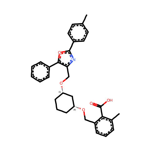 Cc1ccc(-c2nc(CO[C@H]3CCC[C@@H](OCc4cccc(C)c4C(=O)O)C3)c(-c3ccccc3)o2)cc1